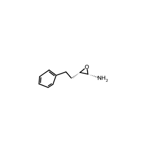 N[C@H]1O[C@H]1CCc1ccccc1